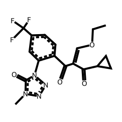 CCOC=C(C(=O)c1ccc(C(F)(F)F)cc1-n1nnn(C)c1=O)C(=O)C1CC1